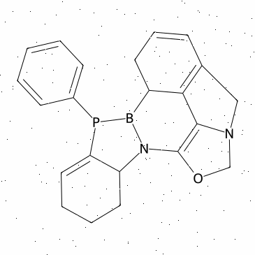 C1=CC2=C3C4=C(OCN4C2)N2B(C3C1)P(c1ccccc1)C1=CCCCC12